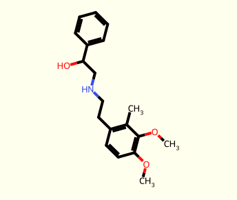 COc1ccc(CCNCC(O)c2ccccc2)c(C)c1OC